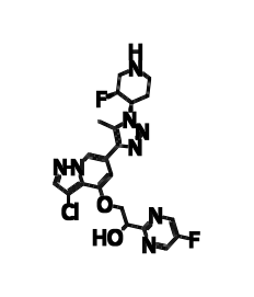 Cc1c(-c2cc(OCC(O)c3ncc(F)cn3)c3c(Cl)cnn3c2)nnn1[C@@H]1CCNC[C@@H]1F